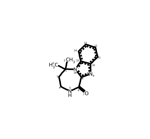 CC1(C)CCNC(=O)c2nc3ccccc3n21